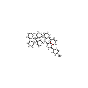 Brc1ccc(-c2ccc(N(c3ccc4c(c3)C3(c5ccccc5-c5ccccc53)c3ccccc3-4)c3ccccc3-c3ccccc3)cc2)cc1